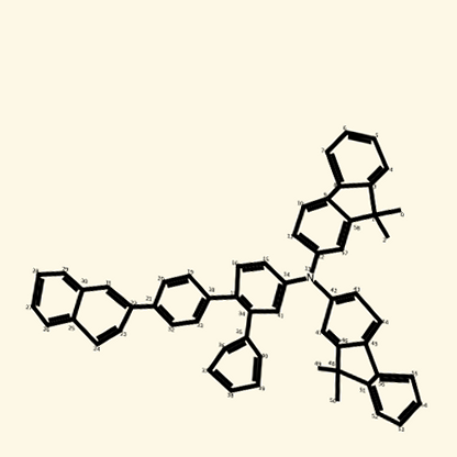 CC1(C)c2ccccc2-c2ccc(N(c3ccc(-c4ccc(-c5ccc6ccccc6c5)cc4)c(-c4ccccc4)c3)c3ccc4c(c3)C(C)(C)c3ccccc3-4)cc21